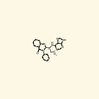 CC[C@H](Nc1ncnc2[nH]cnc12)c1nc2ccccc2c(=O)n1-c1ccccc1